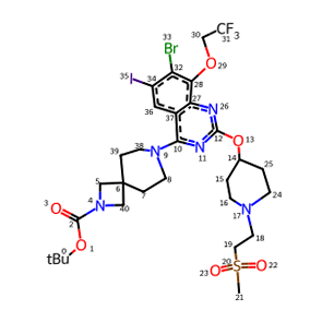 CC(C)(C)OC(=O)N1CC2(CCN(c3nc(OC4CCN(CCS(C)(=O)=O)CC4)nc4c(OCC(F)(F)F)c(Br)c(I)cc34)CC2)C1